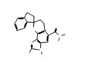 Cc1nc2c3c(c(C(=O)N(C)C)cc2n1C)CCC1(CCc2ccccc21)O3